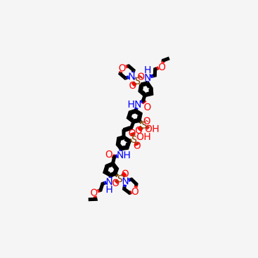 CCOCCNc1ccc(C(=O)Nc2ccc(C=Cc3ccc(NC(=O)c4ccc(NCCOCC)c(S(=O)(=O)N5CCOCC5)c4)cc3S(=O)(=O)O)c(S(=O)(=O)O)c2)cc1S(=O)(=O)N1CCOCC1